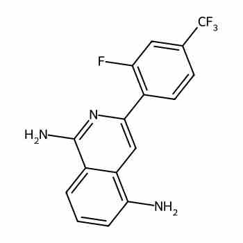 Nc1cccc2c(N)nc(-c3ccc(C(F)(F)F)cc3F)cc12